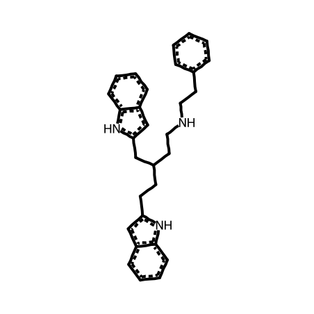 c1ccc(CCNCCC(CCc2cc3ccccc3[nH]2)Cc2cc3ccccc3[nH]2)cc1